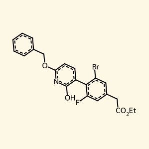 CCOC(=O)Cc1cc(F)c(-c2ccc(OCc3ccccc3)nc2O)c(Br)c1